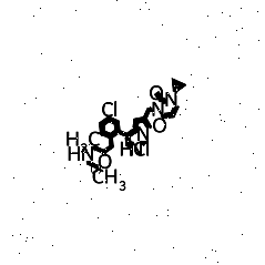 Cc1cc(Cl)cc(-c2cncn3cc(Cn4c(=O)ccn(C5CC5)c4=O)cc23)c1CC1CNC[C@H](C)O1.Cl